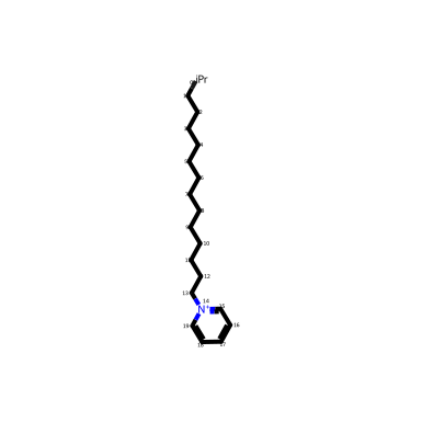 CC(C)CCCCCCCCCCCCC[n+]1ccccc1